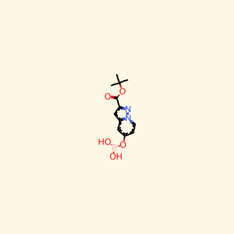 CC(C)(C)OC(=O)c1cc2cc(OB(O)O)ccn2n1